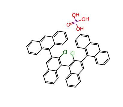 Clc1c(-c2c3ccccc3cc3ccccc23)cc2ccccc2c1-c1c(Cl)c(-c2c3ccccc3cc3ccccc23)cc2ccccc12.O=P(O)(O)O